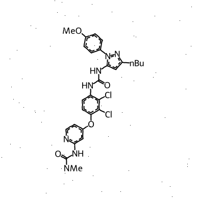 CCCCc1cc(NC(=O)Nc2ccc(Oc3ccnc(NC(=O)NC)c3)c(Cl)c2Cl)n(-c2ccc(OC)cc2)n1